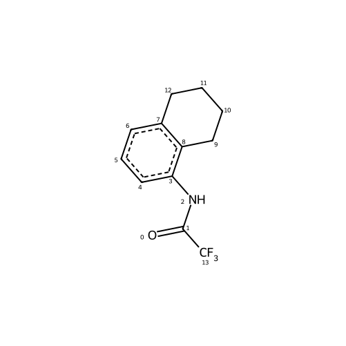 O=C(Nc1cccc2c1CCCC2)C(F)(F)F